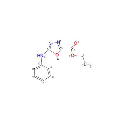 CCOC(=O)c1nnc(Nc2ccccc2)o1